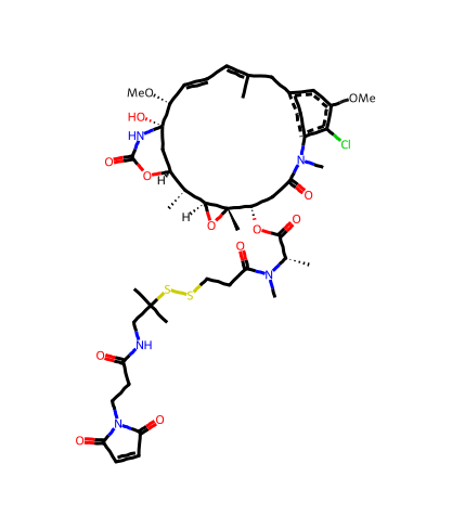 COc1cc2cc(c1Cl)N(C)C(=O)C[C@H](OC(=O)[C@H](C)N(C)C(=O)CCSSC(C)(C)CNC(=O)CCN1C(=O)C=CC1=O)[C@]1(C)O[C@H]1[C@H](C)[C@@H]1C[C@@](O)(NC(=O)O1)[C@H](OC)/C=C/C=C(\C)C2